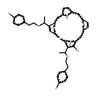 [2H]c1c(C(C)OCCc2ccc(F)cc2)c2cc3nc(cc4ccc(cc5nc(cc1[nH]2)C=C5)[nH]4)C(C(C)OCCc1ccc(F)cc1)=C3